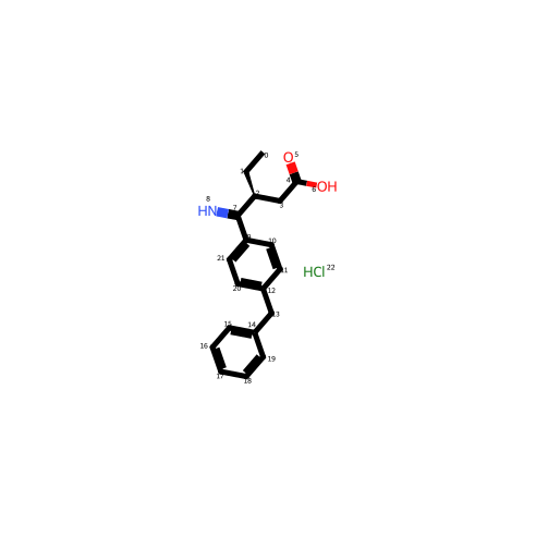 CC[C@@H](CC(=O)O)C(=N)c1ccc(Cc2ccccc2)cc1.Cl